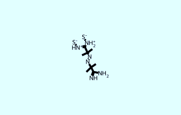 CC(C)(/N=N/C(C)(C)/C(=[NH+]/[S-])[NH2+][S-])C(=N)N